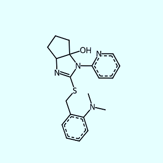 CN(C)c1ccccc1CSC1=NC2CCCC2(O)N1c1ccccn1